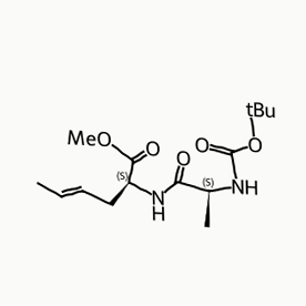 CC=CC[C@H](NC(=O)[C@H](C)NC(=O)OC(C)(C)C)C(=O)OC